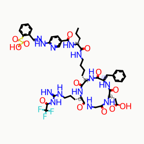 CCC[C@H](NC(=O)c1ccc(N/N=C/c2ccccc2S(=O)(=O)O)nc1)C(=O)NCCCC[C@@H]1NC(=O)/C(=C/c2ccccc2)NC(=O)[C@H](CC(=O)O)NC(=O)CNC(=O)[C@H](CCCNC(=N)NC(=O)C(F)(F)F)NC1=O